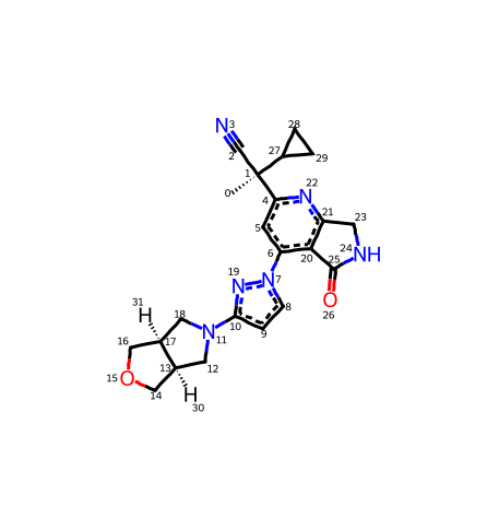 C[C@@](C#N)(c1cc(-n2ccc(N3C[C@H]4COC[C@H]4C3)n2)c2c(n1)CNC2=O)C1CC1